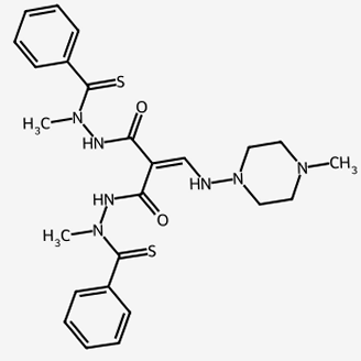 CN1CCN(NC=C(C(=O)NN(C)C(=S)c2ccccc2)C(=O)NN(C)C(=S)c2ccccc2)CC1